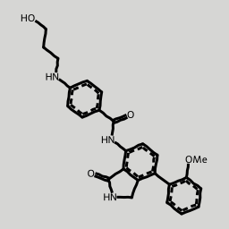 COc1ccccc1-c1ccc(NC(=O)c2ccc(NCCCO)cc2)c2c1CNC2=O